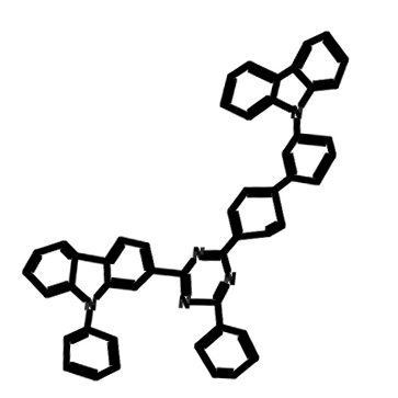 c1ccc(-c2nc(-c3ccc(-c4cccc(-n5c6ccccc6c6ccccc65)c4)cc3)nc(-c3ccc4c5ccccc5n(-c5ccccc5)c4c3)n2)cc1